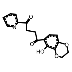 O=C(CCC(=O)c1ccc2c(c1O)OCCO2)c1ccccn1